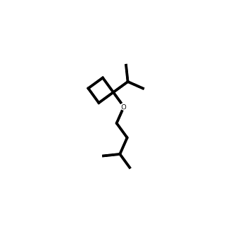 CC(C)CCOC1(C(C)C)CCC1